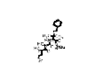 CC(C)CC[C@H](O)C(=O)N(O)C(=O)N[C@@H](C(=O)NC(C)(C)C)C(C)(C)SCc1ccccc1